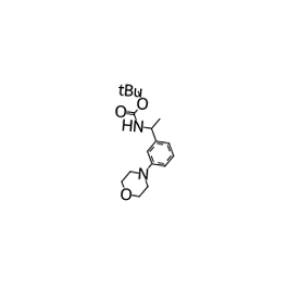 CC(NC(=O)OC(C)(C)C)c1cccc(N2CCOCC2)c1